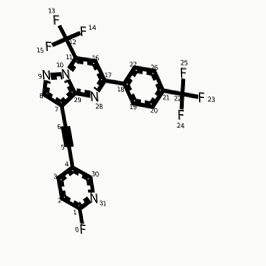 Fc1ccc(C#Cc2cnn3c(C(F)(F)F)cc(-c4ccc(C(F)(F)F)cc4)nc23)cn1